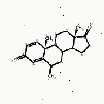 CC1CC2C(CC[C@]3(C)C(=O)CCC23)[C@@]2(C)C=CC(=O)C=C12